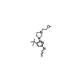 COCCN1CC[C@@H](n2nc(N=C=S)cc2C(C)(C)C)C1